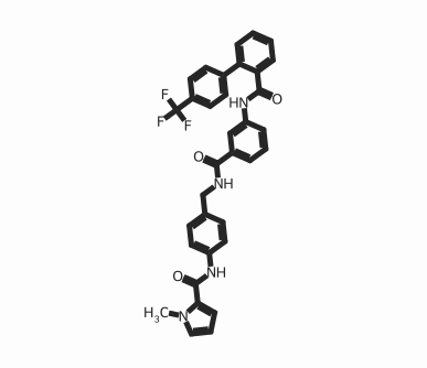 Cn1cccc1C(=O)Nc1ccc(CNC(=O)c2cccc(NC(=O)c3ccccc3-c3ccc(C(F)(F)F)cc3)c2)cc1